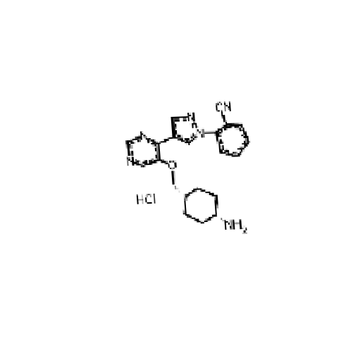 Cl.N#Cc1ccccc1-n1cc(-c2ncncc2OC[C@H]2CC[C@@H](N)CC2)cn1